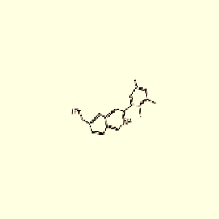 Cc1cc(C)c(C)c(-c2cc3cc(CC(C)C)ccc3c[n+]2C)c1